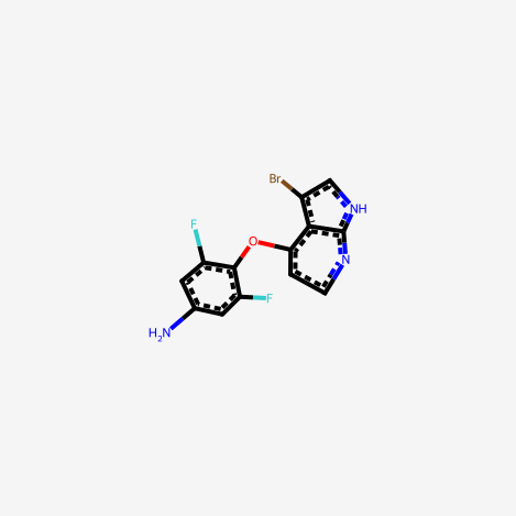 Nc1cc(F)c(Oc2ccnc3[nH]cc(Br)c23)c(F)c1